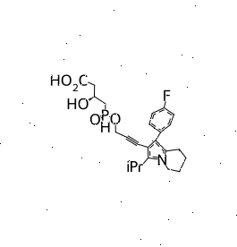 CC(C)c1c(C#CCO[PH](=O)C[C@@H](O)CC(=O)O)c(-c2ccc(F)cc2)c2n1CCCC2